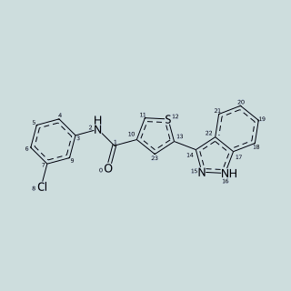 O=C(Nc1cccc(Cl)c1)c1csc(-c2n[nH]c3ccccc23)c1